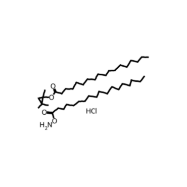 CCCCCCCCCCCCCCCCCC(=O)OC1(C)CC1(C)C.CCCCCCCCCCCCCCCCCC(=O)ON.Cl